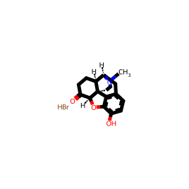 Br.CN1CC[C@]23c4c5ccc(O)c4O[C@H]2C(=O)CC[C@H]3[C@H]1C5